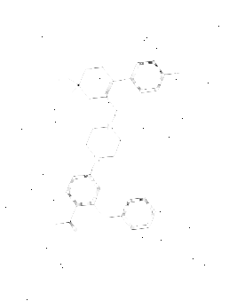 CC1(C)CCC(c2ccc(Cl)cc2)=C(CN2CCN(c3ccc(C(=O)O)c(Oc4ccccc4)c3)CC2)C1